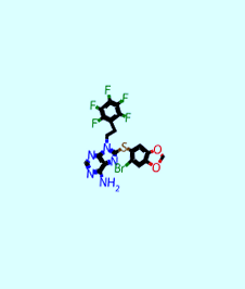 Nc1ncnc2c1nc(Sc1cc3c(cc1Br)OCO3)n2CCc1c(F)c(F)c(F)c(F)c1F